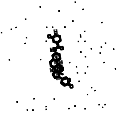 C[C@]12CC[C@H](NC(=O)N3CCNC(=O)C3)CC1CC[C@@H]1[C@@H]2CC[C@]2(C)[C@@H](c3ccc(=O)oc3)CC[C@]12O